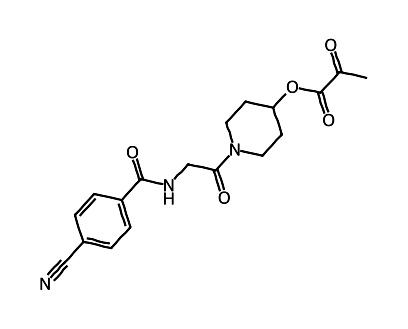 CC(=O)C(=O)OC1CCN(C(=O)CNC(=O)c2ccc(C#N)cc2)CC1